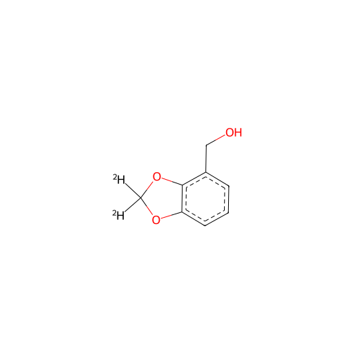 [2H]C1([2H])Oc2cccc(CO)c2O1